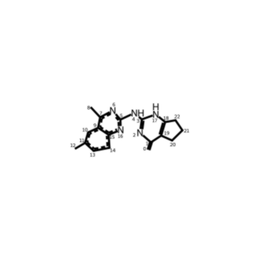 C=C1N=C(Nc2nc(C)c3cc(C)ccc3n2)NC2=C1CCC2